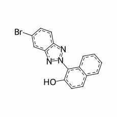 Oc1ccc2ccccc2c1-n1nc2ccc(Br)cc2n1